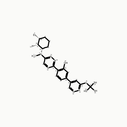 CC[C@@H]1CCC[C@H](N(C)c2cnc(-c3ccc(-c4cnnc(SC(S)(S)S)c4)cc3O)nn2)[C@@H]1F